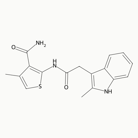 Cc1csc(NC(=O)Cc2c(C)[nH]c3ccccc23)c1C(N)=O